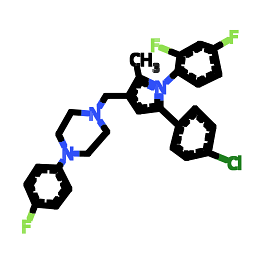 Cc1c(CN2CCN(c3ccc(F)cc3)CC2)cc(-c2ccc(Cl)cc2)n1-c1ccc(F)cc1F